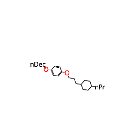 CCCCCCCCCCOc1ccc(OCCCC2CCC(CCC)CC2)cc1